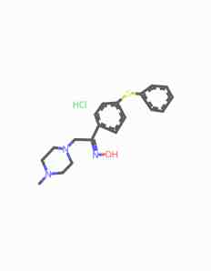 CN1CCN(CC(=NO)c2ccc(Sc3ccccc3)cc2)CC1.Cl